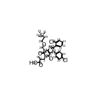 CC(Cn1c(=O)c2c(nc(-c3ccccc3Cl)n2-c2ccc(Cl)cc2)n(COCC[Si](C)(C)C)c1=O)C(=O)O